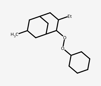 CCC1CC2CC(C)CC(C2)C1OOC1CCCCC1